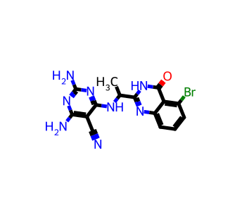 CC(Nc1nc(N)nc(N)c1C#N)c1nc2cccc(Br)c2c(=O)[nH]1